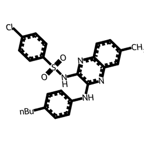 CCCCc1ccc(Nc2nc3cc(C)ccc3nc2NS(=O)(=O)c2ccc(Cl)cc2)cc1